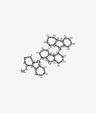 N#Cc1cccc2c1c1ccccc1n2-c1cccc2c1oc1cccc(-n3c4ccccc4c4ccccc43)c12